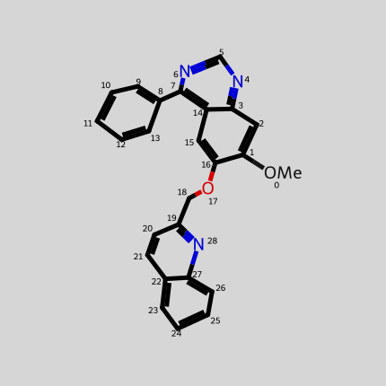 COc1cc2ncnc(-c3ccccc3)c2cc1OCc1ccc2ccccc2n1